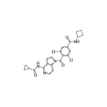 O=C(NC1CCC1)c1cc(Cl)c(C(=O)n2ccc3c(NC(=O)C4CC4)nccc32)c(Cl)c1